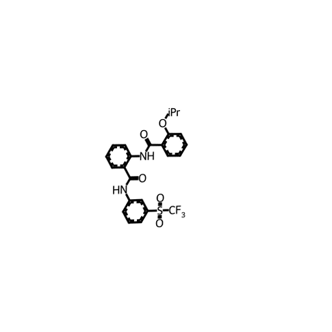 CC(C)Oc1ccccc1C(=O)Nc1ccccc1C(=O)Nc1cccc(S(=O)(=O)C(F)(F)F)c1